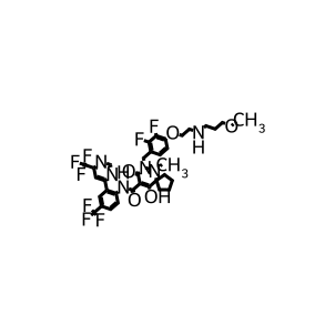 COCCCNCCOc1ccc(CN2C(=O)C(C(=O)Nc3ccc(C(F)(F)F)cc3-c3cc(C(F)(F)F)ncn3)=C(O)C3(CCCC3)N2C)c(F)c1F